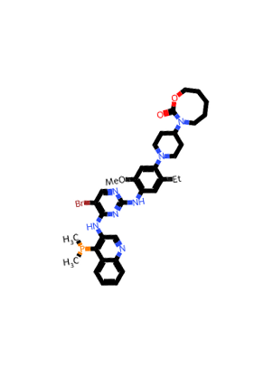 CCc1cc(Nc2ncc(Br)c(Nc3cnc4ccccc4c3P(C)C)n2)c(OC)cc1N1CCC(N2CCCCCOC2=O)CC1